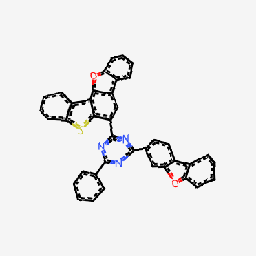 c1ccc(-c2nc(-c3ccc4c(c3)oc3ccccc34)nc(-c3cc4c5ccccc5oc4c4c3sc3ccccc34)n2)cc1